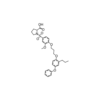 CCCc1cc(Oc2ccccc2)ccc1OCCCOc1ccc(S(=O)(=O)N2CCCC2C(=O)O)cc1OC